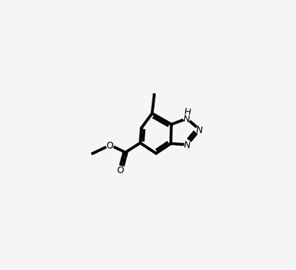 COC(=O)c1cc(C)c2[nH]nnc2c1